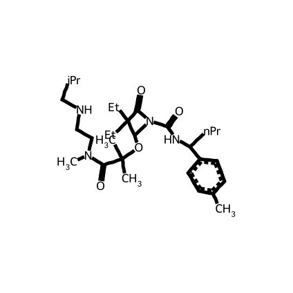 CCCC(NC(=O)N1C(=O)C(CC)(CC)C1OC(C)(C)C(=O)N(C)CCNCC(C)C)c1ccc(C)cc1